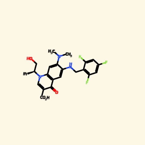 CC(C)[C@@H](CO)n1cc(C(=O)O)c(=O)c2cc(NCc3c(F)cc(F)cc3F)c(N(C)C)cc21